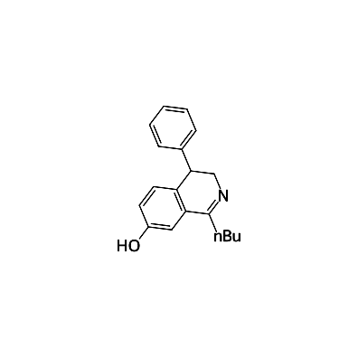 CCCCC1=NCC(c2ccccc2)c2ccc(O)cc21